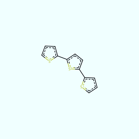 c1csc(-c2ccc(-c3cccs3)s2)c1